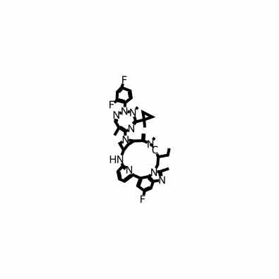 C=C1C2CC(CN2c2nc(C3(C)CC3)n(C)n(-c3ccc(F)cc3F)ncc2C)Nc2cccc(n2)-c2cc(F)cc3nc(C)n(c23)CC(CC)CN1C